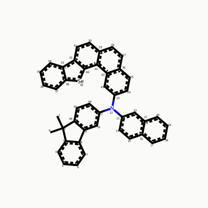 CC1(C)c2ccccc2-c2cc(N(c3ccc4ccccc4c3)c3ccc4ccc5ccc6c7ccccc7[se]c6c5c4c3)ccc21